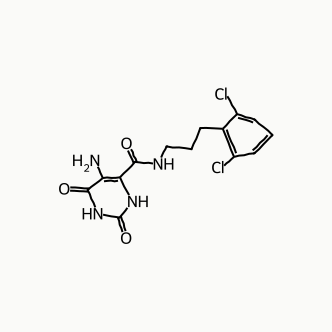 Nc1c(C(=O)NCCCc2c(Cl)cccc2Cl)[nH]c(=O)[nH]c1=O